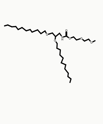 CCCCCCCCCCCCOCC(CNC(=O)OCCOCCOC)OCCCCCCCCCCCC